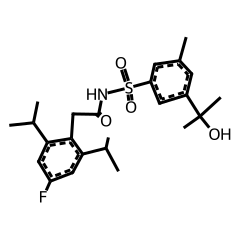 Cc1cc(C(C)(C)O)cc(S(=O)(=O)NC(=O)Cc2c(C(C)C)cc(F)cc2C(C)C)c1